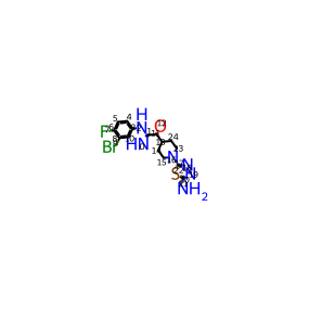 N=C(Nc1ccc(F)c(Br)c1)C(=O)C1CCN(c2nnc(N)s2)CC1